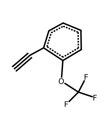 C#Cc1ccccc1OC(F)(F)F